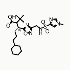 Cn1cnc(S(=O)(=O)NCc2noc([C@H](CCCC3CCCCC3)C(C(=O)O)C(C)(C)C)n2)c1